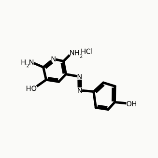 Cl.Nc1nc(N)c(N=Nc2ccc(O)cc2)cc1O